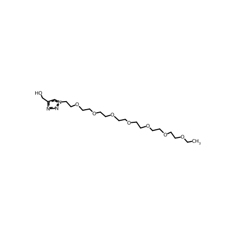 CCOCCOCCOCCOCCOCCOCCOCCn1cc(CO)nn1